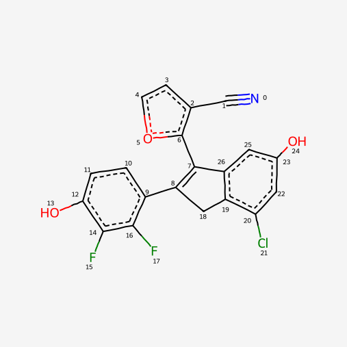 N#Cc1ccoc1C1=C(c2ccc(O)c(F)c2F)Cc2c(Cl)cc(O)cc21